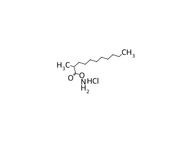 CCCCCCCCCC(C)C(=O)ON.Cl